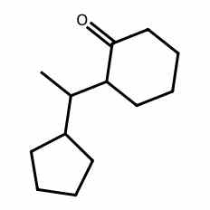 CC(C1CCCC1)C1CCCCC1=O